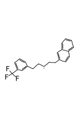 FC(F)(F)c1cccc(CC[CH]CCc2ccc3ccccc3c2)c1